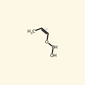 C/C=C\OBO